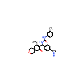 COC1=C(C(NC(=O)Nc2cccc(C(F)(F)F)c2)c2ccc(C3CN3)cc2)C(=O)CC2(CCOCC2)C1